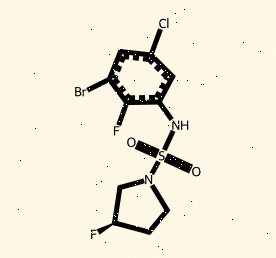 O=S(=O)(Nc1cc(Cl)cc(Br)c1F)N1CC[C@@H](F)C1